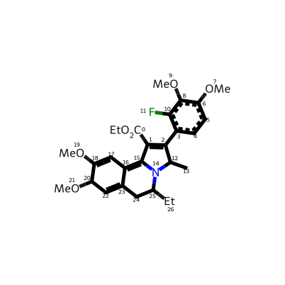 CCOC(=O)C1=C(c2ccc(OC)c(OC)c2F)C(C)N2C1=C1C=C(OC)C(OC)C=C1CC2CC